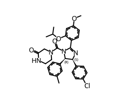 COc1ccc(C2=N[C@@H](c3ccc(Cl)cc3)[C@@H](c3cccc(C)c3)N2C(=O)N2CCNC(=O)C2)c(OC(C)C)c1